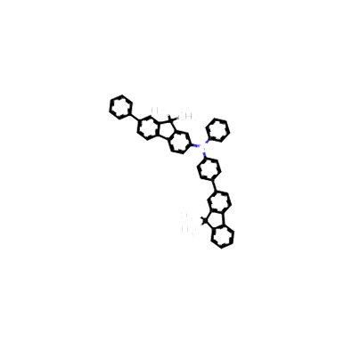 CC1(C)c2ccccc2-c2ccc(-c3ccc(N(c4ccccc4)c4ccc5c(c4)C(C)(C)c4cc(-c6ccccc6)ccc4-5)cc3)cc21